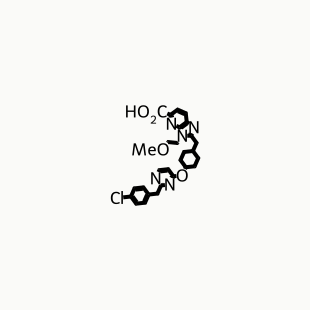 COCCn1c(CC2CCC(Oc3ccnc(Cc4ccc(Cl)cc4)n3)CC2)nc2ccc(C(=O)O)nc21